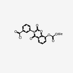 COC(=O)Oc1cccc2c(=O)n(-c3cccc(C(=O)Cl)c3)c(=O)oc12